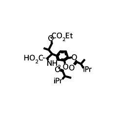 CCOC(=O)OCC(C)C(c1ccc(OC(=O)C(C)C(C)C)c(OC(=O)C(C)C(C)C)c1)[C@H](N)C(=O)O